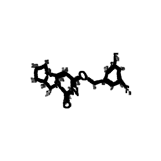 O=c1nc(OCc2cc(F)cc(F)c2)cc2n1CC1CCCN21